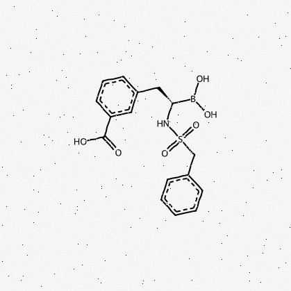 O=C(O)c1cccc(C[C@H](NS(=O)(=O)Cc2ccccc2)B(O)O)c1